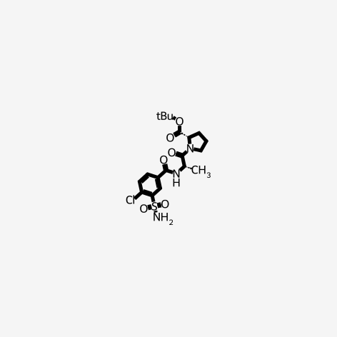 C[C@H](NC(=O)c1ccc(Cl)c(S(N)(=O)=O)c1)C(=O)N1CCC[C@H]1C(=O)OC(C)(C)C